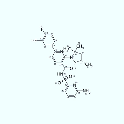 C[C@@H]1CN(c2nc(-c3ccc(F)c(F)c3)ccc2C(=O)NS(=O)(=O)c2cccc(N)n2)C(C)(C)C1